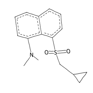 CN(C)c1cccc2cccc(S(=O)(=O)CC3CC3)c12